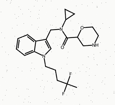 CC(F)(F)CCCn1cc(CN(C(=O)C2CNCCO2)C2CC2)c2ccccc21